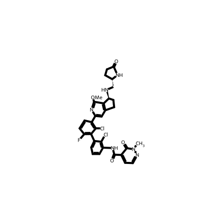 COc1nc(-c2ccc(F)c(-c3cccc(NC(=O)c4ccnn(C)c4=O)c3Cl)c2Cl)cc2c1[C@@H](NC[C@@H]1CCC(=O)N1)CC2